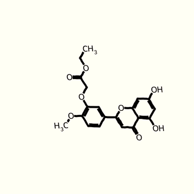 CCOC(=O)COc1cc(-c2cc(=O)c3c(O)cc(O)cc3o2)ccc1OC